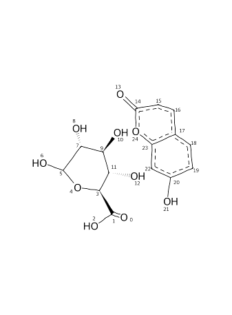 O=C(O)[C@H]1OC(O)[C@H](O)[C@@H](O)[C@@H]1O.O=c1ccc2ccc(O)cc2o1